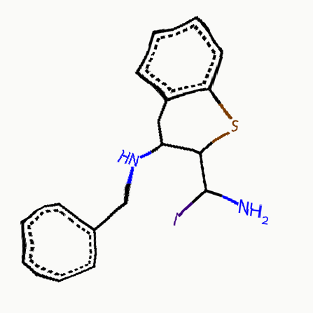 NC(I)C1Sc2ccccc2C1NCc1ccccc1